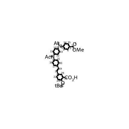 COC(=O)c1ccc(N(C(C)=O)c2ccc(N(C(C)=O)c3ccc(C=Cc4ccc(OC(C)(C)C)c(C(=O)O)c4)cc3)cc2)cc1